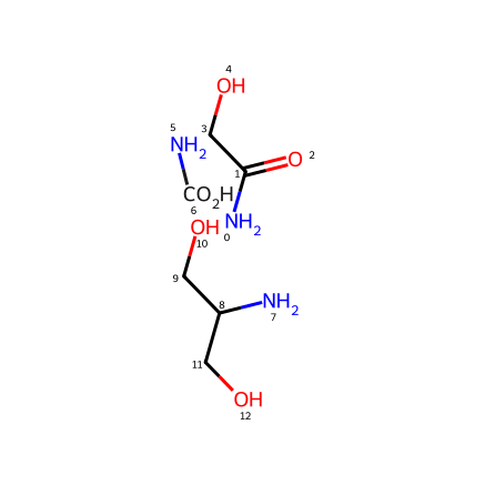 NC(=O)CO.NC(=O)O.NC(CO)CO